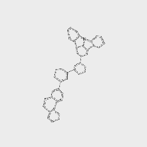 c1cc(-c2cccc(-c3cc4c5ccccc5n5c6ccccc6c(c3)c45)c2)cc(-c2ccc3c(ccc4ccccc43)c2)c1